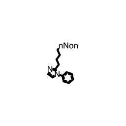 CCCCCCCCCCCCCc1nccn1-c1ccccc1